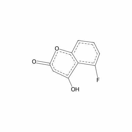 O=c1cc(O)c2c(F)cccc2o1